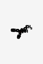 CC1CCC(Nc2ncc(-c3ccc(N4CCOCC4)cc3)c(OCC3CCOCC3)n2)CC1